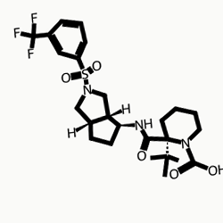 CC(C)(C)[C@]1(C(=O)N[C@H]2CC[C@@H]3CN(S(=O)(=O)c4cccc(C(F)(F)F)c4)C[C@@H]32)CCCCN1C(=O)O